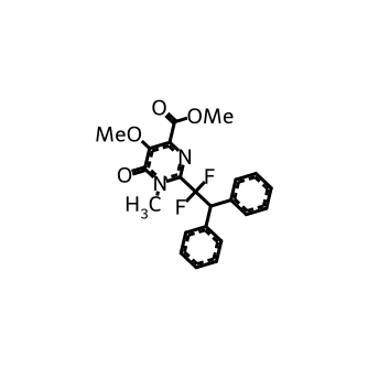 COC(=O)c1nc(C(F)(F)C(c2ccccc2)c2ccccc2)n(C)c(=O)c1OC